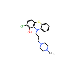 CN1CCN(CCCN2c3ccccc3Sc3ccc(Cl)c(O)c32)CC1